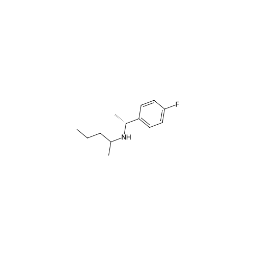 CCCC(C)N[C@H](C)c1ccc(F)cc1